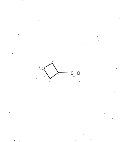 O=[C]C1COC1